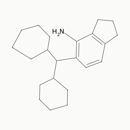 Nc1c(C(C2CCCCC2)C2CCCCC2)ccc2c1CCC2